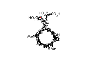 CNC(=O)C[C@@H]1NC(=O)c2csc(n2)-c2ccc(-c3nc(N(CCCCC(CCC(=O)O)C(=O)O)C(=O)O[C@H]4CC[C@H](C(=O)O)CC4)cs3)nc2-c2csc(n2)-c2csc(n2)[C@H]([C@@H](O)c2ccccc2)NC(=O)CNC(=O)c2nc(sc2COC)C(C(C)C)NC(=O)c2nc1sc2C